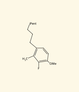 CCCC(C)CCCc1ccc(OC)c(F)c1C